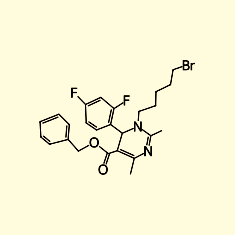 CC1=NC(C)=C(C(=O)OCc2ccccc2)C(c2ccc(F)cc2F)N1CCCCCBr